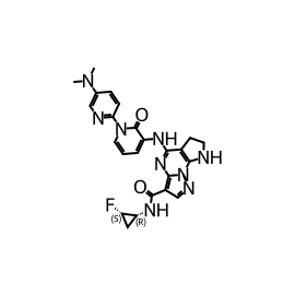 CN(C)c1ccc(-n2cccc(Nc3nc4c(C(=O)N[C@@H]5C[C@@H]5F)cnn4c4c3CCN4)c2=O)nc1